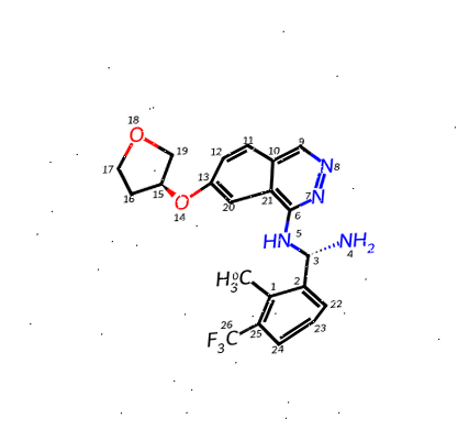 Cc1c([C@@H](N)Nc2nncc3ccc(O[C@H]4CCOC4)cc23)cccc1C(F)(F)F